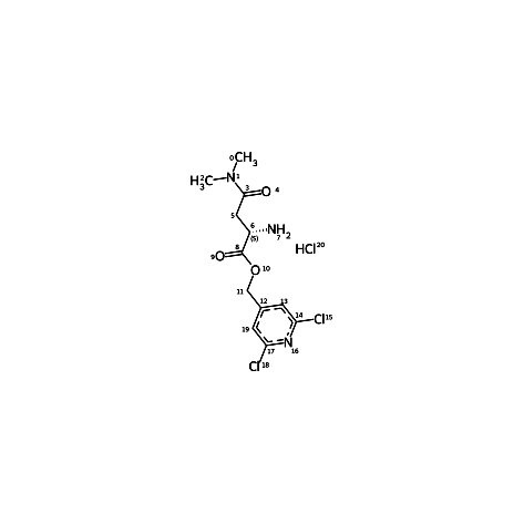 CN(C)C(=O)C[C@H](N)C(=O)OCc1cc(Cl)nc(Cl)c1.Cl